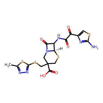 Cc1nnc(SCC2(C(=O)O)CS[C@@H]3C(NC(=O)C(=O)c4csc(N)n4)C(=O)N3C2)s1